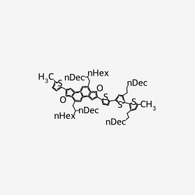 CCCCCCCCCCCCc1cc(C)sc1-c1sc(-c2ccc(-c3cc4c(c(CC(CCCCCC)CCCCCCCCCC)cc5c6cc(-c7ccc(C)s7)c(=O)c6c(CC(CCCCCC)CCCCCCCCCC)cc45)c3=O)s2)cc1CCCCCCCCCCCC